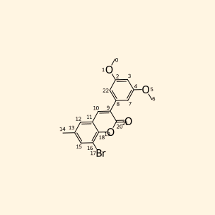 COc1cc(OC)cc(-c2cc3cc(C)cc(Br)c3oc2=O)c1